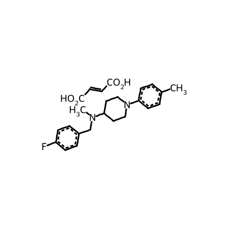 Cc1ccc(N2CCC(N(C)Cc3ccc(F)cc3)CC2)cc1.O=C(O)C=CC(=O)O